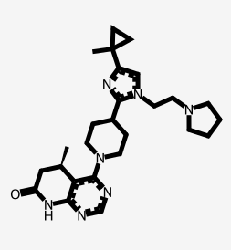 C[C@@H]1CC(=O)Nc2ncnc(N3CCC(c4nc(C5(C)CC5)cn4CCN4CCCC4)CC3)c21